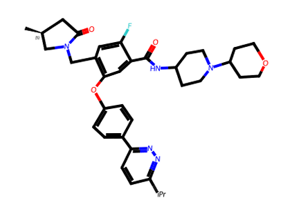 CC(C)c1ccc(-c2ccc(Oc3cc(C(=O)NC4CCN(C5CCOCC5)CC4)c(F)cc3CN3C[C@@H](C)CC3=O)cc2)nn1